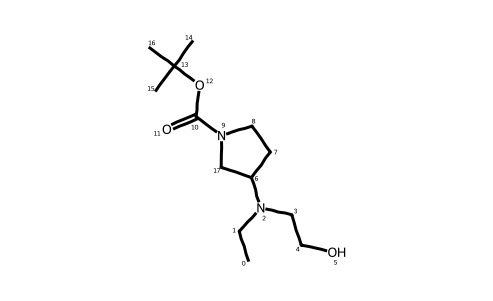 CCN(CCO)C1CCN(C(=O)OC(C)(C)C)C1